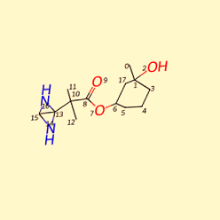 CC1(O)CCCC(OC(=O)C(C)(C)C23NC2N3)C1